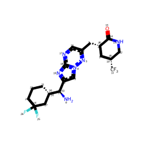 N[C@H](c1cn2nc(C[C@H]3C[C@@H](C(F)(F)F)CNC3=O)cnc2n1)[C@H]1CCCC(F)(F)C1